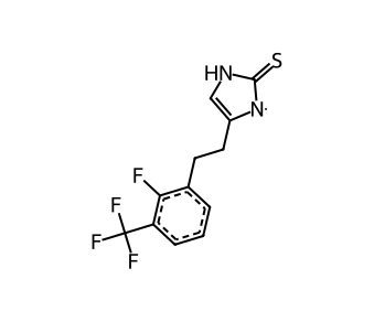 Fc1c(CCC2=CNC(=S)[N]2)cccc1C(F)(F)F